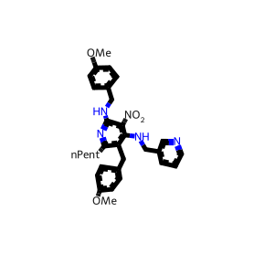 CCCCCc1nc(NCc2ccc(OC)cc2)c([N+](=O)[O-])c(NCc2cccnc2)c1Cc1ccc(OC)cc1